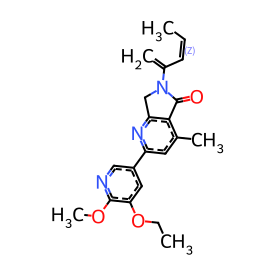 C=C(/C=C\C)N1Cc2nc(-c3cnc(OC)c(OCC)c3)cc(C)c2C1=O